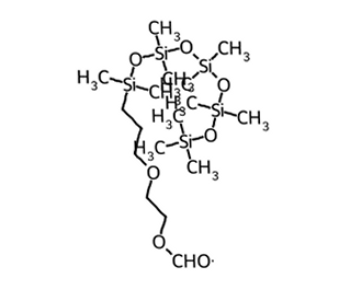 C[Si](C)(C)O[Si](C)(C)O[Si](C)(C)O[Si](C)(C)O[Si](C)(C)CCCOCCO[C]=O